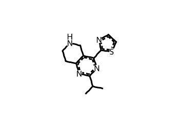 CC(C)c1nc2c(c(-c3nccs3)n1)CNCC2